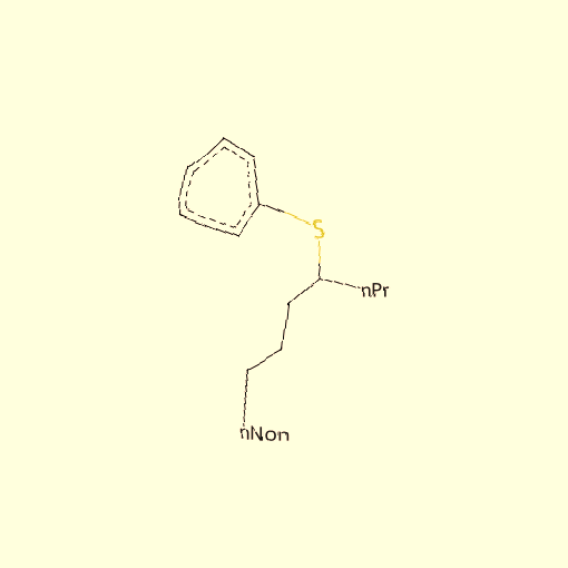 CCCCCCCCCCCCC(CCC)Sc1ccccc1